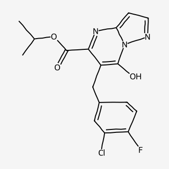 CC(C)OC(=O)c1nc2ccnn2c(O)c1Cc1ccc(F)c(Cl)c1